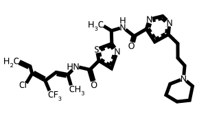 C=C/C(Cl)=C(\C=C(/C)NC(=O)c1cnc(C(C)NC(=O)c2cc(CCCN3CCCCC3)ncn2)s1)C(F)(F)F